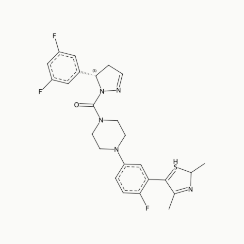 CC1=NC(C)[SH]=C1c1cc(N2CCN(C(=O)N3N=CC[C@H]3c3cc(F)cc(F)c3)CC2)ccc1F